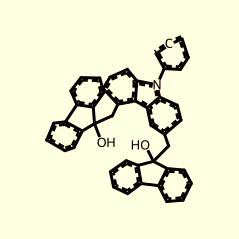 OC1(Cc2ccc3c(c2)c2c(CC4(O)c5ccccc5-c5ccccc54)cccc2n3-c2ccccc2)c2ccccc2-c2ccccc21